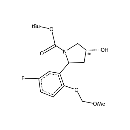 COCOc1ccc(F)cc1C1C[C@@H](O)CN1C(=O)OC(C)(C)C